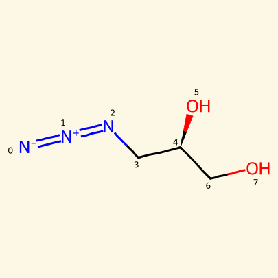 [N-]=[N+]=NC[C@@H](O)CO